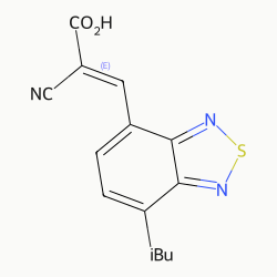 CCC(C)c1ccc(/C=C(\C#N)C(=O)O)c2nsnc12